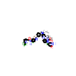 CN(C[C@H]1CC[C@H](c2nc3cc(F)c(NC(=O)c4cccc(C(F)(F)F)n4)cc3s2)CC1)C1CCN(c2ccc(Cl)c3c2n(C)c(=O)n3C2CCC(=O)NC2=O)CC1